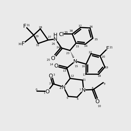 COC(=O)N1CCN(C(C)=O)CC1C(=O)N(c1cccc(F)c1)[C@H](C(=O)NC1CC(F)(F)C1)c1ccccc1Cl